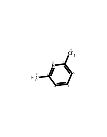 FC(F)(F)c1bc(C(F)(F)F)ccc1